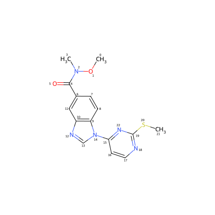 CON(C)C(=O)c1ccc2c(c1)ncn2-c1ccnc(SC)n1